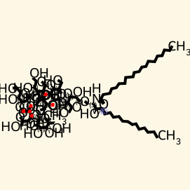 CCCCCCCCCCCCC/C=C/[C@@H](O)[C@H](CO[C@@H]1OC(CO)[C@@H](O[C@@H]2OC(CO)[C@H](O[C@@H]3OC(CO)[C@H](O)[C@H](O[C@@H]4OC(CO)[C@H](O)[C@H](O[C@@H]5OC(CO)[C@H](O)[C@H](O[C@H]6OC(CO)[C@H](O)[C@H](O)C6O)C5O[C@H]5OC(C)[C@@H](O)C(O)[C@@H]5O)C4NC(C)=O)C3O)[C@H](O)C2O)[C@H](O)C1O)NC(=O)CCCCCCCCCCCCCCCCCCC